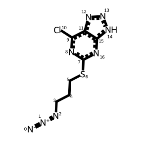 [N-]=[N+]=NCCCSc1nc(Cl)c2nn[nH]c2n1